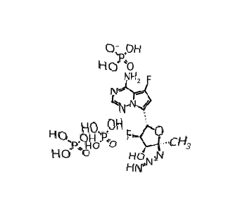 C[C@@]1(N=[N+]=N)O[C@@H](c2cc(F)c3c(N)ncnn23)[C@H](F)[C@@H]1O.O=P(O)(O)O.O=P(O)(O)O.O=P([O-])(O)O